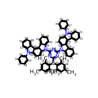 Cc1cc(C)c(B(c2nc(-n3c4ccccc4c4c5c6ccccc6n(-c6ccccc6)c5ccc43)nc(-n3c4ccccc4c4c5c6ccccc6n(-c6ccccc6)c5ccc43)n2)c2c(C)cc(C)cc2C)c(C)c1